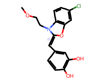 COCCN1/C(=C/c2ccc(O)c(O)c2)Oc2cc(Cl)ccc21